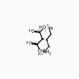 NCC[CH2][Na].O=C(O)CC(=O)O